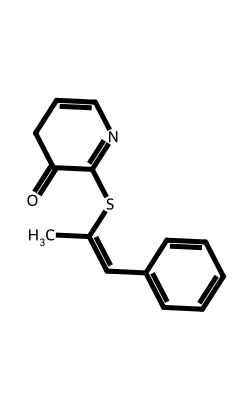 CC(=Cc1ccccc1)SC1=NC=CCC1=O